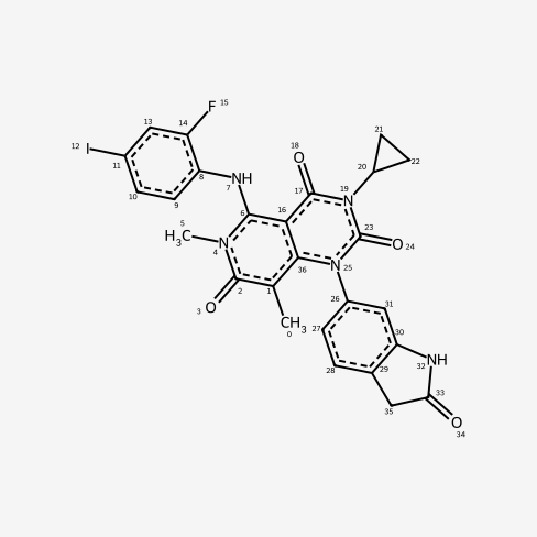 Cc1c(=O)n(C)c(Nc2ccc(I)cc2F)c2c(=O)n(C3CC3)c(=O)n(-c3ccc4c(c3)NC(=O)C4)c12